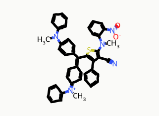 CN(c1ccccc1)c1ccc(C(=C2C=CC(=[N+](C)c3ccccc3)C=C2)c2sc(N(C)c3ccccc3[N+](=O)[O-])c(C#N)c2-c2ccccc2)cc1